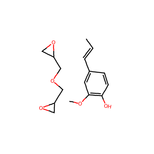 C(OCC1CO1)C1CO1.CC=Cc1ccc(O)c(OC)c1